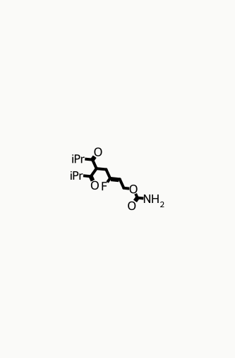 CC(C)C(=O)C(C/C(F)=C/COC(N)=O)C(=O)C(C)C